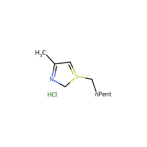 CCCCCCS1=CC(C)=NC1.Cl